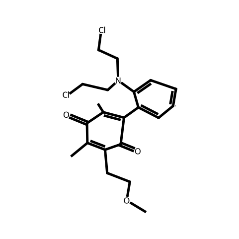 COCCC1=C(C)C(=O)C(C)=C(c2c[c]ccc2N(CCCl)CCCl)C1=O